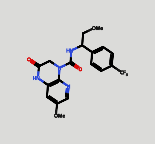 COCC(NC(=O)N1CC(=O)Nc2cc(OC)cnc21)c1ccc(C(F)(F)F)cc1